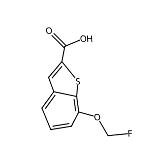 O=C(O)c1cc2cccc(OCF)c2s1